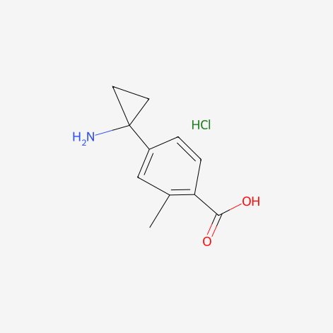 Cc1cc(C2(N)CC2)ccc1C(=O)O.Cl